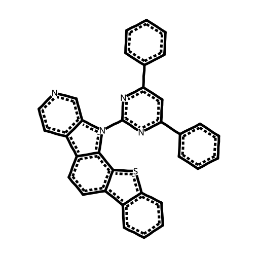 c1ccc(-c2cc(-c3ccccc3)nc(-n3c4cnccc4c4ccc5c6ccccc6sc5c43)n2)cc1